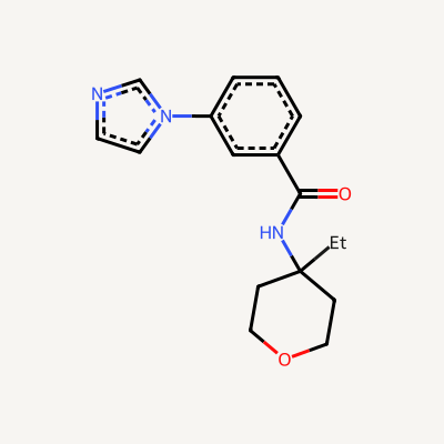 CCC1(NC(=O)c2cccc(-n3ccnc3)c2)CCOCC1